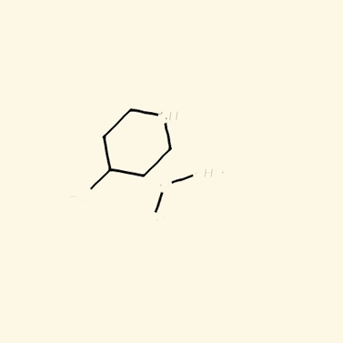 CC(C)OC=O.OC1CCNCC1